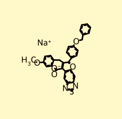 COc1ccc(C/C(C(=O)c2ccc(OCc3ccccc3)cc2)=C(\C(=O)[O-])c2ccc3nsnc3c2)cc1.[Na+]